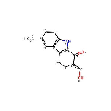 O=C(O)c1ccc2[nH]c3c(c2c1)CCC(=CO)C3=O